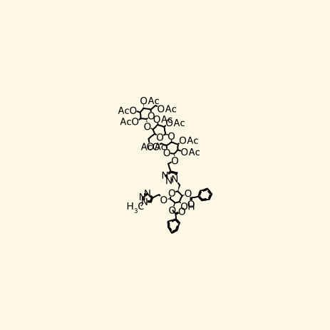 CC(=O)OCC1O[C@H](O[C@@H]2C(COC(C)=O)O[C@H](O[C@@H]3C(COC(C)=O)O[C@@H](OCc4cn(C[C@@H]5O[C@@H](OCc6cn(C)nn6)[C@H](OC(=O)c6ccccc6)[C@H](O)[C@H]5OC(=O)c5ccccc5)nn4)C(OC(C)=O)C3OC(C)=O)C(OC(C)=O)C2OC(C)=O)C(OC(C)=O)C(OC(C)=O)[C@@H]1OC(C)=O